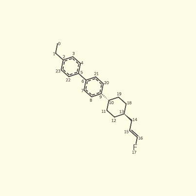 CCc1ccc(-c2ccc([C@H]3CC[C@H](CC=CF)CC3)cc2)cc1